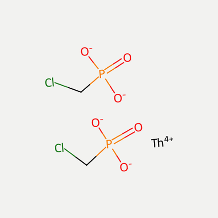 O=P([O-])([O-])CCl.O=P([O-])([O-])CCl.[Th+4]